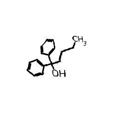 CCCCC(O)(c1ccccc1)c1ccccc1